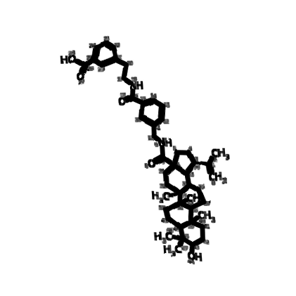 C=C(C)[C@@H]1CCC2(C(=O)NCc3cccc(C(=O)NCCc4cccc(C(=O)O)c4)c3)CC[C@]3(C)C(CCC4C5(C)CCC(O)C(C)(C)C5CCC43C)C12